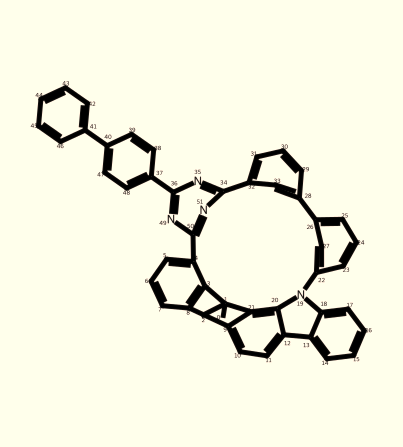 CC1(C)c2c3cccc2-c2ccc4c5ccccc5n(c4c21)-c1cccc(c1)-c1cccc(c1)-c1nc(-c2ccc(-c4ccccc4)cc2)nc-3n1